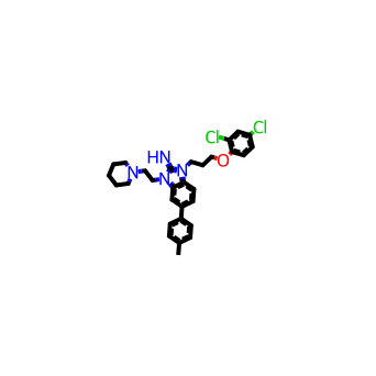 Cc1ccc(-c2ccc3c(c2)n(CCN2CCCCC2)c(=N)n3CCCOc2ccc(Cl)cc2Cl)cc1